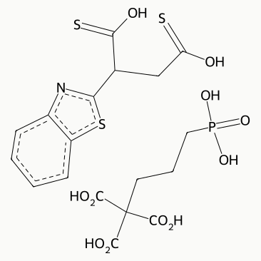 O=C(O)C(CCCP(=O)(O)O)(C(=O)O)C(=O)O.OC(=S)CC(C(O)=S)c1nc2ccccc2s1